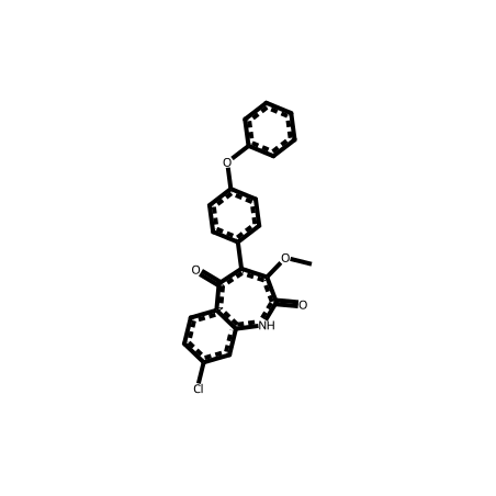 COc1c(-c2ccc(Oc3ccccc3)cc2)c(=O)c2ccc(Cl)cc2[nH]c1=O